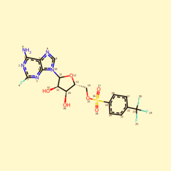 Nc1nc(F)nc2c1ncn2C1O[C@H](COS(=O)(=O)c2ccc(C(F)(F)F)cc2)[C@@H](O)[C@H]1O